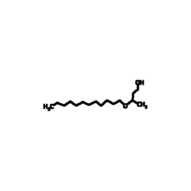 CCCCCCCCCCCCOC(C)CCO